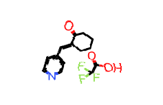 O=C(O)C(F)(F)F.O=C1CCCC/C1=C\c1ccncc1